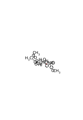 CCOC(=O)[C@H](C)CCOP1(=O)OC[C@H]2S[C@@H](n3ccc(NC(c4ccccc4)(c4ccccc4)c4ccc(OC)cc4)nc3=O)[C@@H](F)[C@@H]2O1